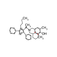 CCCCn1c(-c2ccccc2)nc(-c2ccccc2)c1[C@@H](C)N(Cc1cc(C)c(O)c(C)c1)CC1CCCCC1